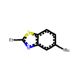 CCc1nc2cc(C(C)(C)C)ccc2s1